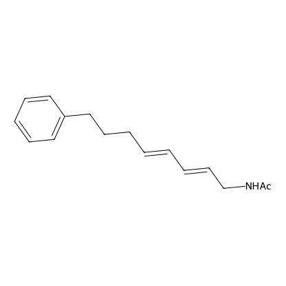 CC(=O)NC/C=C/C=C/CCCc1ccccc1